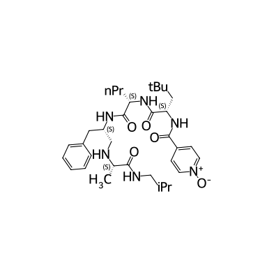 CCC[C@H](NC(=O)[C@H](CC(C)(C)C)NC(=O)c1cc[n+]([O-])cc1)C(=O)N[C@H](CN[C@@H](C)C(=O)NCC(C)C)Cc1ccccc1